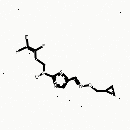 [O-][S+](CCC(F)=C(F)F)c1ncc(C=NOCC2CC2)s1